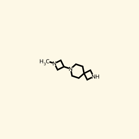 CN1CC(N2CCC3(CC2)CNC3)C1